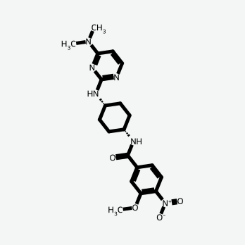 COc1cc(C(=O)N[C@H]2CC[C@@H](Nc3nccc(N(C)C)n3)CC2)ccc1[N+](=O)[O-]